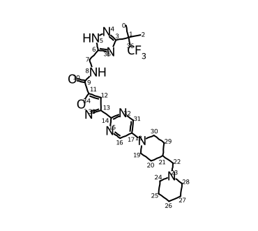 CC(C)(c1n[nH]c(CNC(=O)c2cc(-c3ncc(N4CCC(CN5CCCCC5)CC4)cn3)no2)n1)C(F)(F)F